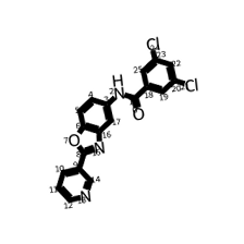 O=C(Nc1ccc2oc(-c3cccnc3)nc2c1)c1cc(Cl)cc(Cl)c1